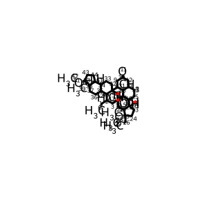 CCC1CC(=O)CC2(C3CC(=O)CC4CC[C@@H]5[C@@H](CC[C@@]6(C)[C@H]5CCC6(CC)OC)[C@]43C)CC[C@@H]3[C@@H](CC[C@]4(C)C(OC)CC[C@@H]34)[C@@]12C